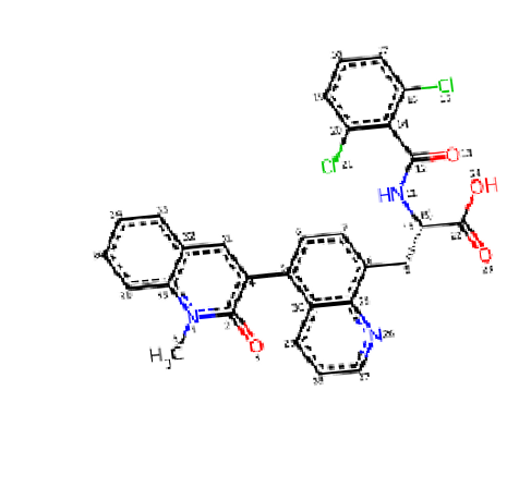 Cn1c(=O)c(-c2ccc(C[C@H](NC(=O)c3c(Cl)cccc3Cl)C(=O)O)c3ncccc23)cc2ccccc21